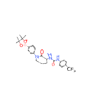 CC1(C)OB(c2ccc(N3CCCC(NC(=O)Nc4ccc(C(F)(F)F)cc4)C3=O)cc2)OC1(C)C